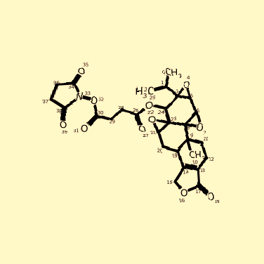 CC(C)C12OC1C1OC13C1(C)CCC4=C(COC4=O)C1CC1OC13C2OC(=O)CCC(=O)ON1C(=O)CCC1=O